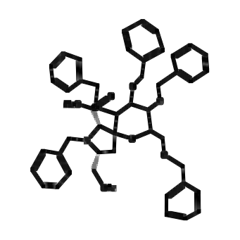 COC(=O)[C@H]1N(Cc2ccccc2)[C@@H](COC(C)=O)CC12OC(COCc1ccccc1)C(OCc1ccccc1)C(OCc1ccccc1)C2OCc1ccccc1